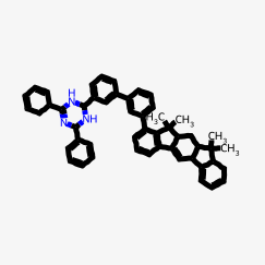 CC1(C)c2c(cccc2-c2cccc(-c3cccc(C4NC(C5C=CC=CC5)=NC(c5ccccc5)N4)c3)c2)C2=CC3C4=CC=CCC4C(C)(C)C3CC21